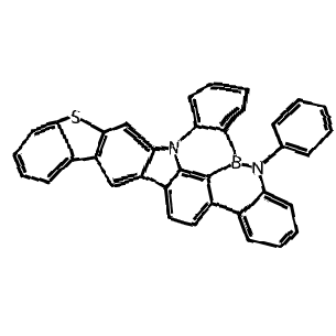 c1ccc(N2B3c4ccccc4-n4c5cc6sc7ccccc7c6cc5c5ccc(c3c54)-c3ccccc32)cc1